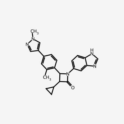 Cc1cc(-c2cnn(C)c2)ccc1C1C(C2CC2)C(=O)N1c1ccc2[nH]cnc2c1